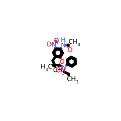 CCCN(c1ccccc1)C1(O)Oc2cc(NC(C)=O)c([N+](=O)[O-])cc2CC1(C)C